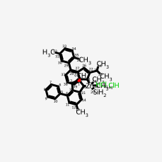 CC1=Cc2c(-c3ccccc3)cc(C)cc2[CH]1[Zr]([CH3])([CH3])(=[SiH2])[CH]1C(C(C)C)=Cc2c(-c3cc(C)ccc3C)cccc21.Cl.Cl